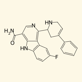 NC(=O)c1cnc(C2CC(c3ccccc3)=CCN2)c2c1[nH]c1ccc(F)cc12